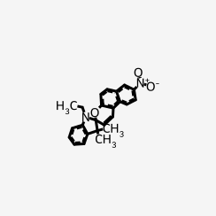 CCN1c2ccccc2C(C)(C)C12C=Cc1c(ccc3cc([N+](=O)[O-])ccc13)O2